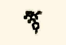 COC(=O)c1cc(C(C)C)nn(-c2ccc(F)cc2)c1=O